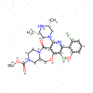 C[C@@H]1CN(c2nc(-c3c(O)cccc3F)c(Cl)c3c2C(=O)N2CCN(C(=O)OC(C)(C)C)CC2CO3)C[C@H](C)N1